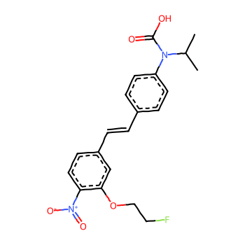 CC(C)N(C(=O)O)c1ccc(C=Cc2ccc([N+](=O)[O-])c(OCCF)c2)cc1